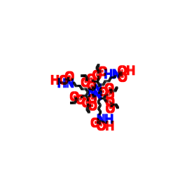 C=CC(=O)OCC(COC(=O)C=C)C(CCCCCNC(=O)O)n1c(=O)n(C(CCCCCNC(=O)O)C(COC(=O)C=C)COC(=O)C=C)c(=O)n(C(CCCCCNC(=O)O)C(COC(=O)C=C)COC(=O)C=C)c1=O